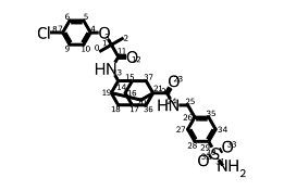 CC(C)(Oc1ccc(Cl)cc1)C(=O)NC1C2CC3CC1CC(C(=O)NCc1ccc(S(N)(=O)=O)cc1)(C3)C2